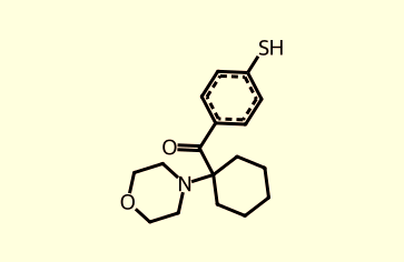 O=C(c1ccc(S)cc1)C1(N2CCOCC2)CCCCC1